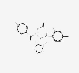 CC1N(C(=O)c2ccc(C(F)(F)F)cc2)CC(=O)O[C@@]1(Cn1cncn1)c1ccc(F)cc1F